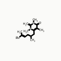 C=C1N(C)C(=O)C(C)=C(CC(C)C/C=C(\C)C(C)CC)N1C